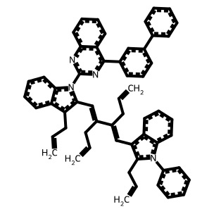 C=CCC(=C\c1c(CC=C)n(-c2ccccc2)c2ccccc12)/C(=C/c1c(CC=C)c2ccccc2n1-c1nc(-c2cccc(-c3ccccc3)c2)c2ccccc2n1)CC=C